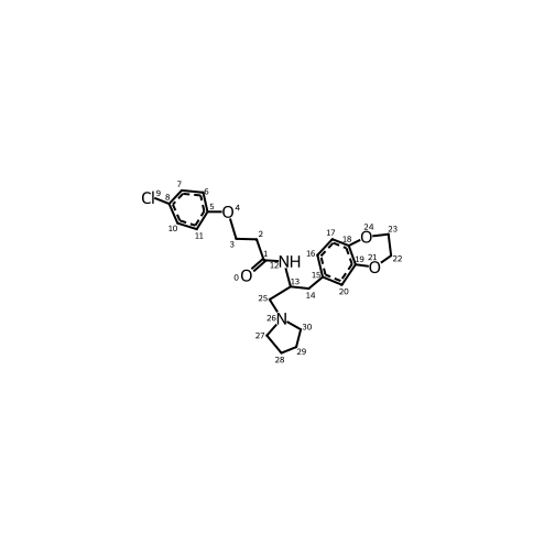 O=C(CCOc1ccc(Cl)cc1)NC(Cc1ccc2c(c1)OCCO2)CN1CCCC1